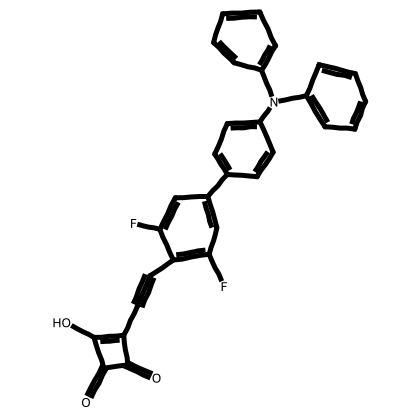 O=c1c(O)c(C#Cc2c(F)cc(-c3ccc(N(c4ccccc4)c4ccccc4)cc3)cc2F)c1=O